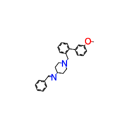 COc1cccc(-c2ccccc2CN2CCC(N=Cc3ccccc3)CC2)c1